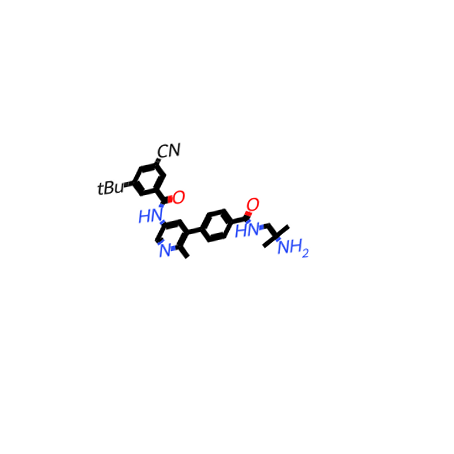 Cc1ncc(NC(=O)c2cc(C#N)cc(C(C)(C)C)c2)cc1-c1ccc(C(=O)NCC(C)(C)N)cc1